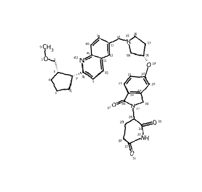 COC[C@H]1CCC[C@H]1c1ccc2cc(CN3CC[C@H](Oc4ccc5c(c4)CN(C4CCC(=O)NC4=O)C5=O)C3)ccc2n1